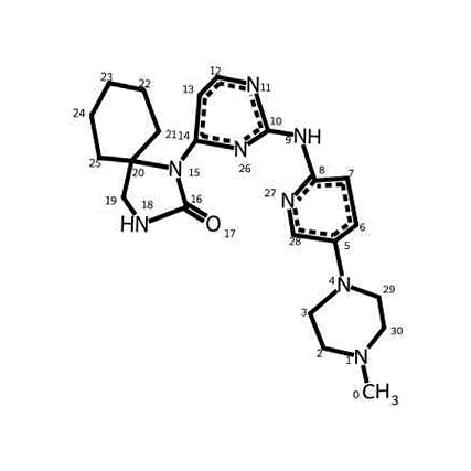 CN1CCN(c2ccc(Nc3nccc(N4C(=O)NCC45CCCCC5)n3)nc2)CC1